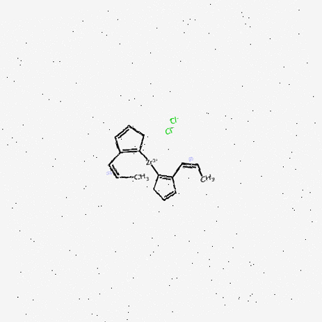 C/C=C\C1=[C]([Zr+2][C]2=C(/C=C\C)C=CC2)CC=C1.[Cl-].[Cl-]